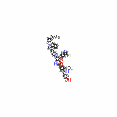 COc1ccc(CN2CCN(C3CC4(CCN(c5ccc(C(=O)NS(=O)(=O)c6ccc(NCC7CCC(C)(O)CC7)c([N+](=O)[O-])c6)c(Oc6cnc7[nH]cc(Cl)c7c6)c5)CC4)C3)C(c3ccccc3C(C)C)C2)cc1